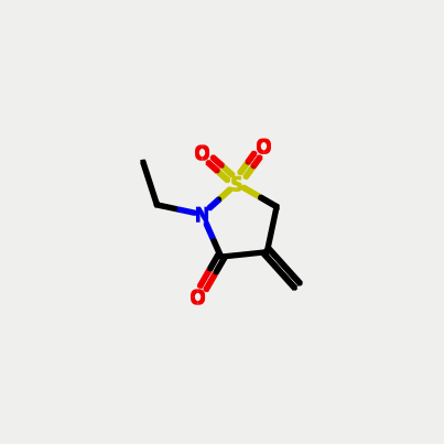 C=C1CS(=O)(=O)N(CC)C1=O